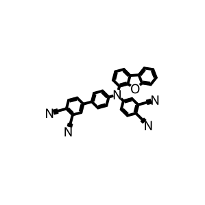 N#Cc1ccc(-c2ccc(N(c3ccc(C#N)c(C#N)c3)c3cccc4c3oc3ccccc34)cc2)cc1C#N